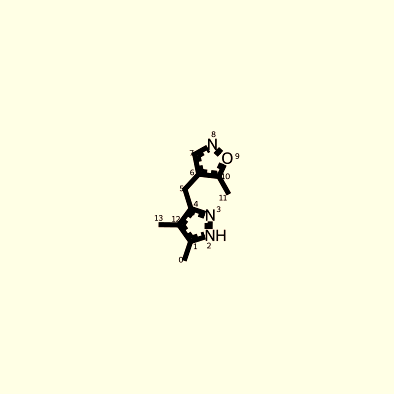 Cc1[nH]nc(Cc2cnoc2C)c1C